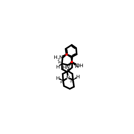 Nc1ccccc1C(O)NC1C[C@H]2CCC[C@@H](C1)N2C1C[C@H]2CCC[C@@H](C1)C2